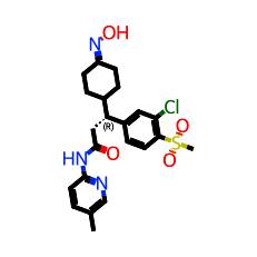 Cc1ccc(NC(=O)C[C@@H](c2ccc(S(C)(=O)=O)c(Cl)c2)C2CCC(=NO)CC2)nc1